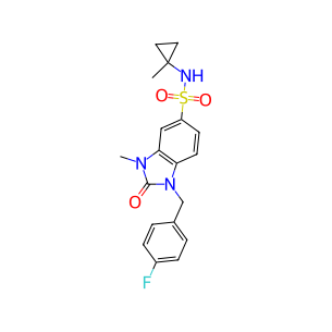 Cn1c(=O)n(Cc2ccc(F)cc2)c2ccc(S(=O)(=O)NC3(C)CC3)cc21